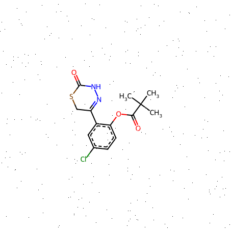 CC(C)(C)C(=O)Oc1ccc(Cl)cc1C1=NNC(=O)SC1